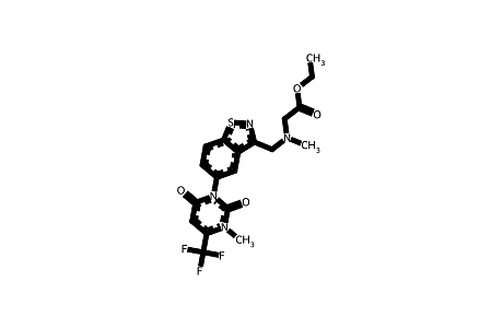 CCOC(=O)CN(C)Cc1nsc2ccc(-n3c(=O)cc(C(F)(F)F)n(C)c3=O)cc12